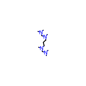 CN(C)CN(C)CCCN(C)CN(C)C